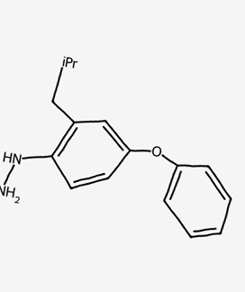 CC(C)Cc1cc(Oc2ccccc2)ccc1NN